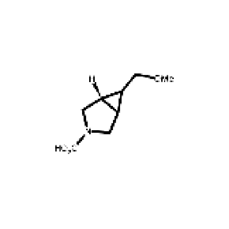 COCC1C2CN(C(=O)O)C[C@H]12